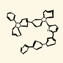 c1ccc(-c2ccc(-c3cccc(-c4cccc(-n5c6ccccc6c6cc(-c7ccc8c(c7)c7ccccc7n8-c7ccccc7)ccc65)n4)c3)cc2)cc1